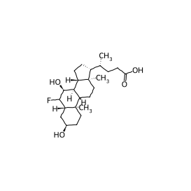 C[C@H](CCC(=O)O)[C@H]1CC[C@H]2[C@@H]3[C@H](O)C(F)[C@H]4C[C@H](O)CC[C@]4(C)[C@H]3CC[C@]12C